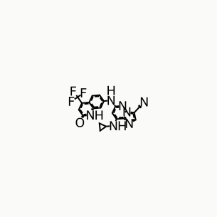 N#Cc1cnc2c(NC3CC3)cc(Nc3ccc4c(C(F)(F)F)cc(=O)[nH]c4c3)nn12